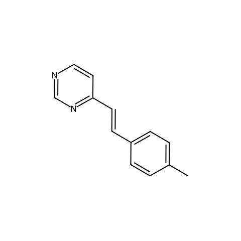 Cc1ccc(C=Cc2ccncn2)cc1